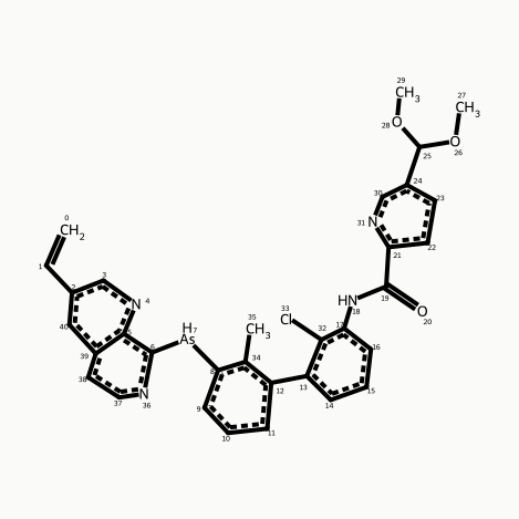 C=Cc1cnc2c([AsH]c3cccc(-c4cccc(NC(=O)c5ccc(C(OC)OC)cn5)c4Cl)c3C)nccc2c1